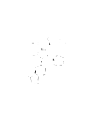 CC(C)CC(=O)C1=C(O)C(=O)N(c2ccc3[nH]cnc3c2)C1c1c(F)c(F)cc(F)c1F